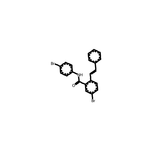 O=C(Nc1ccc(Br)cc1)c1cc(Br)ccc1C=Cc1ccccc1